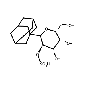 O=S(=O)(O)O[C@H]1[C](C23CC4CC(CC(C4)C2)C3)O[C@H](CO)[C@H](O)[C@@H]1O